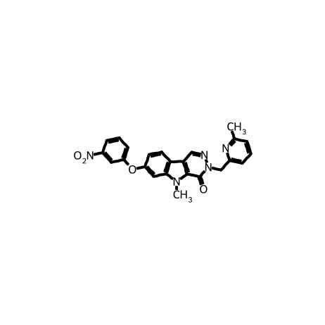 Cc1cccc(Cn2ncc3c4ccc(Oc5cccc([N+](=O)[O-])c5)cc4n(C)c3c2=O)n1